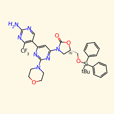 CC(C)(C)[Si](OC[C@@H]1CN(c2cc(-c3cnc(N)nc3C(F)(F)F)nc(N3CCOCC3)n2)C(=O)O1)(c1ccccc1)c1ccccc1